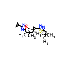 CC(c1nc(C2CC2)no1)C(C)(C)CC1CC1c1nnc(CC(C)(C)C)s1